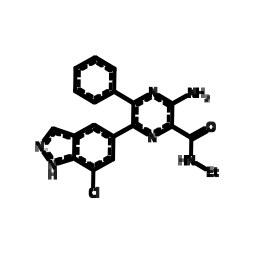 CCNC(=O)c1nc(-c2cc(Cl)c3[nH]ncc3c2)c(-c2ccccc2)nc1N